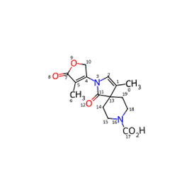 CC1=CN(C2=C(C)C(=O)OC2)C(=O)C12CCN(C(=O)O)CC2